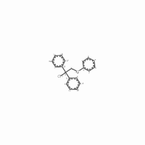 ClC(COc1ccccc1)(c1ccccc1)c1ccccc1